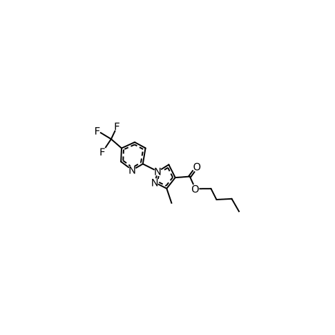 CCCCOC(=O)c1cn(-c2ccc(C(F)(F)F)cn2)nc1C